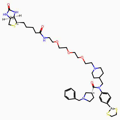 O=C(CCCC[C@H]1SC[C@H]2NC(=O)N[C@H]21)NCCOCCOCCOCCN1CCC(CN(C(=O)[C@@H]2CCN(Cc3ccccc3)C2)c2ccc([As]3SCCS3)cc2)CC1